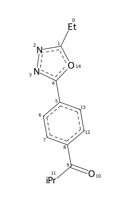 CCc1nnc(-c2ccc(C(=O)C(C)C)cc2)o1